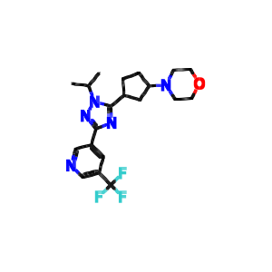 CC(C)n1nc(-c2cncc(C(F)(F)F)c2)nc1C1CCC(N2CCOCC2)C1